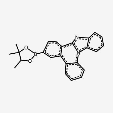 CC1OB(c2ccc3c(c2)c2ccccc2n2c4ccccc4nc32)OC1(C)C